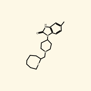 Cc1ccc2c(c1)[nH]c(=O)n2C1CCN(CC2CCCCCCC2)CC1